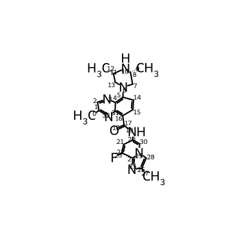 Cc1cnc2c(N3C[C@@H](C)N[C@@H](C)C3)ccc(C(=O)Nc3cc(F)c4nc(C)cn4c3)c2n1